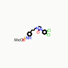 COOSNc1ccc(CCCN2CCN(c3ccc(Cl)c(Cl)c3)C2=O)cc1